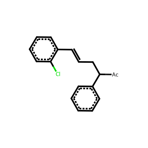 CC(=O)C(CC=Cc1ccccc1Cl)c1ccccc1